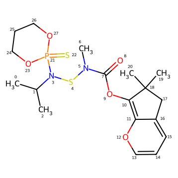 CC(C)N(SN(C)C(=O)OC1=C2OC=CC=C2CC1(C)C)P1(=S)OCCCO1